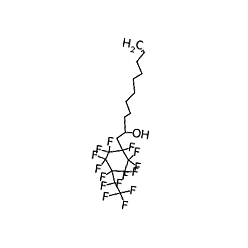 C=CCCCCCCCC(O)CC1(F)C(F)(F)C(F)(F)C(F)(C(F)(F)C(F)(F)F)C(F)(F)C1(F)F